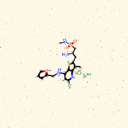 CNS(=O)(=O)C[C@H](N)Cc1sc2c(NCc3ccco3)cc(Cl)nc2c1C.Cl.Cl